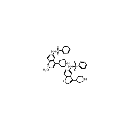 O.O=S(=O)(Nc1ccc2c(c1)C(C1CCNCC1)=CCO2)c1ccccc1.O=S(=O)(Nc1ccc2c(c1)C(C1CCNCC1)=CCO2)c1ccccc1